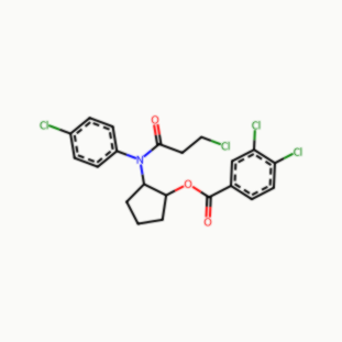 O=C(OC1CCCC1N(C(=O)CCCl)c1ccc(Cl)cc1)c1ccc(Cl)c(Cl)c1